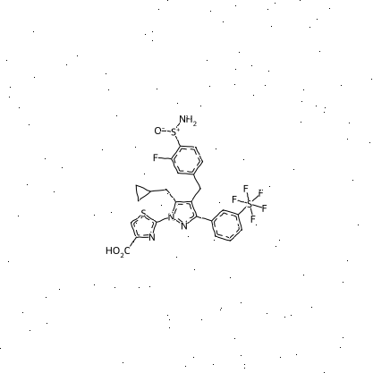 N[S+]([O-])c1ccc(Cc2c(-c3cccc(S(F)(F)(F)(F)F)c3)nn(-c3nc(C(=O)O)cs3)c2CC2CC2)cc1F